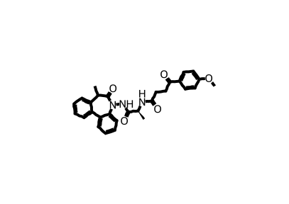 COc1ccc(C(=O)CCC(=O)N[C@@H](C)C(=O)NN2C(=O)C(C)c3ccccc3-c3ccccc32)cc1